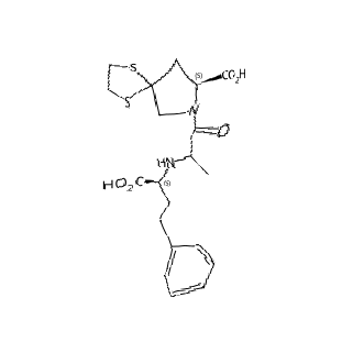 CC(N[C@@H](CCc1ccccc1)C(=O)O)C(=O)N1CC2(C[C@H]1C(=O)O)SCCS2